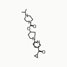 CC(C)N1CCN(C(=O)OC2CCN(c3ccc(C(=O)C4CC4)cn3)CC2)CC1